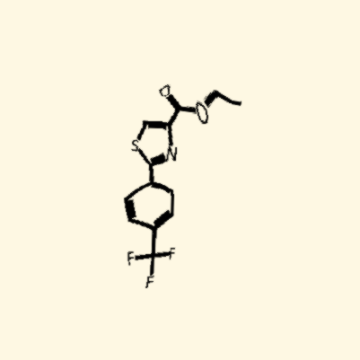 CCOC(=O)c1csc(-c2ccc(C(F)(F)F)cc2)n1